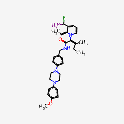 C/C=C1\C(C(F)P)=CC=CN1/C(C(=O)NCc1ccc(N2CCN(c3ccc(OC)cc3)CC2)cc1)=C(\C)CC